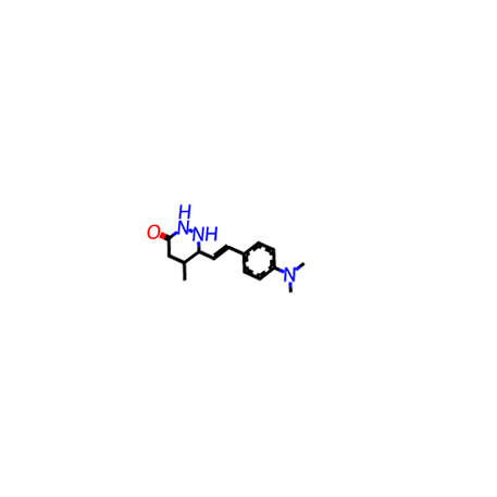 CC1CC(=O)NNC1/C=C/c1ccc(N(C)C)cc1